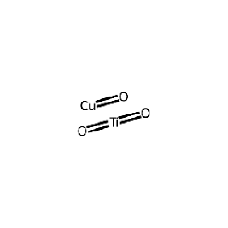 [O]=[Cu].[O]=[Ti]=[O]